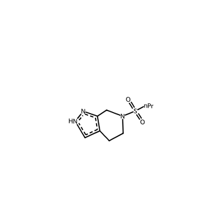 CCCS(=O)(=O)N1CCc2c[nH]nc2C1